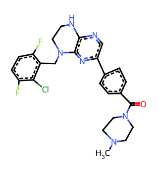 CN1CCN(C(=O)c2ccc(-c3cnc4c(n3)N(Cc3c(F)ccc(F)c3Cl)CCN4)cc2)CC1